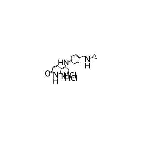 Cl.Cl.O=c1ccc2c(Nc3ccc(CNC4CC4)cc3)ccnc2[nH]1